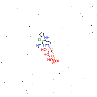 N#Cc1nc2c(ccn2[C@@H]2O[C@H](COCP(=O)(O)O)[C@@H](O)[C@H]2O)c(NC2CCCC2)c1Cl